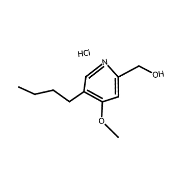 CCCCc1cnc(CO)cc1OC.Cl